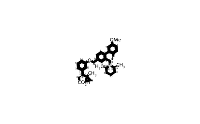 COc1ccc(F)c(-c2ccc(COc3cccc([C@H](CC(=O)O)C4(C)CC4)c3)cc2CN2[C@H](C)CCC[C@@H]2C)c1